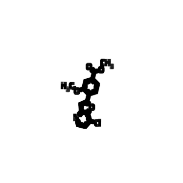 COC(=O)c1ccc(-c2cc3nccc(Cl)c3o2)c(OC)c1